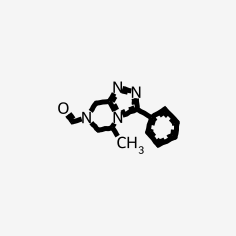 CC1CN(C=O)Cc2nnc(-c3ccccc3)n21